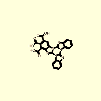 O=C(O)c1cc2c(nc3n4c5ccccc5nc4n4c5ccccc5nc4n23)c(C(=O)O)c1C(=O)O